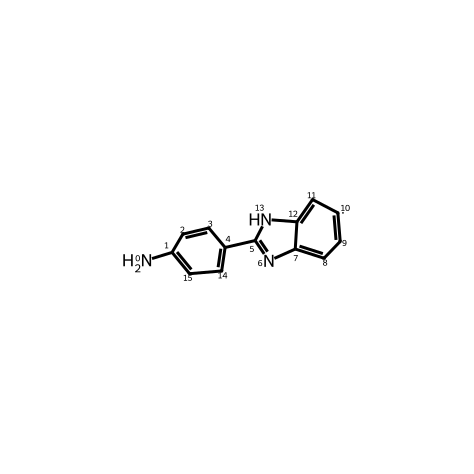 Nc1ccc(-c2nc3cc[c]cc3[nH]2)cc1